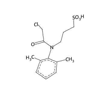 Cc1cccc(C)c1N(CCCS(=O)(=O)O)C(=O)CCl